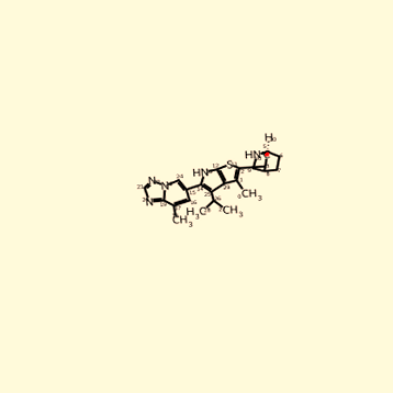 Cc1c(C2C[C@@H]3CCC2CN3)sc2[nH]c(-c3cc(C)c4ncnn4c3)c(C(C)C)c12